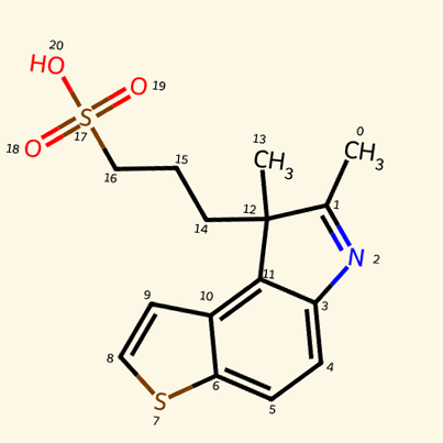 CC1=Nc2ccc3sccc3c2C1(C)CCCS(=O)(=O)O